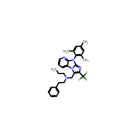 CCCN(CCc1ccccc1)Cc1c(C(F)(F)F)nc2n(-c3c(C)cc(C)cc3C)c3ncccc3n12